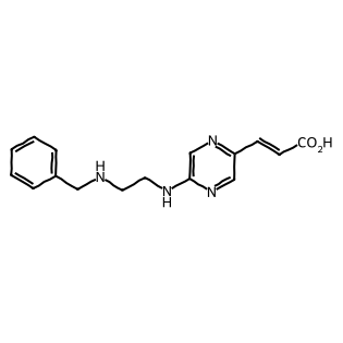 O=C(O)C=Cc1cnc(NCCNCc2ccccc2)cn1